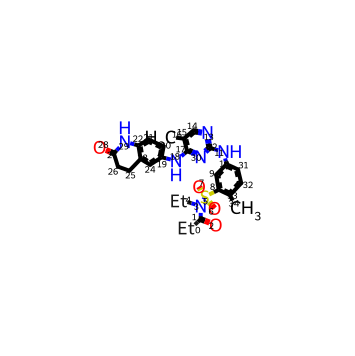 CCC(=O)N(CC)S(=O)(=O)c1cc(Nc2ncc(C)c(Nc3ccc4c(c3)CCC(=O)N4)n2)ccc1C